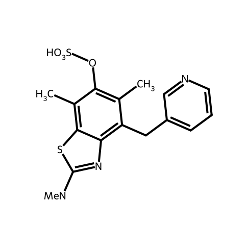 CNc1nc2c(Cc3cccnc3)c(C)c(OS(=O)(=O)O)c(C)c2s1